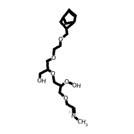 C/N=C/COCC(COC(CO)COCCOCC1CC2C=CC1C2)OO